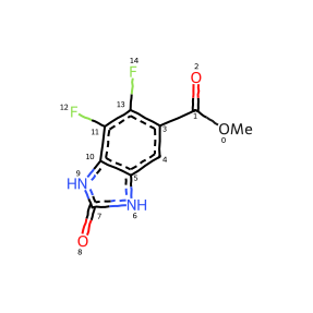 COC(=O)c1cc2[nH]c(=O)[nH]c2c(F)c1F